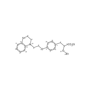 CCOC(=O)C(Cc1ccc(OCCN2CCSc3ccccc32)cc1)OCC